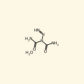 N=NN(C(N)=O)C(N)=O.O